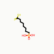 O=P(O)(O)CCCCCCCC(=S)S